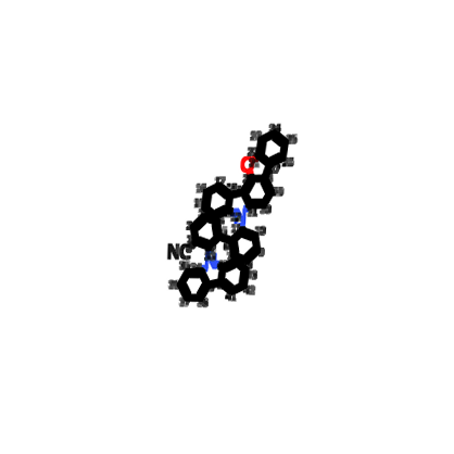 N#Cc1cccc(-c2ccccc2-n2c3ccccc3c3c4oc5ccccc5c4ccc32)c1-n1c2ccccc2c2ccccc21